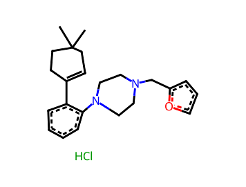 CC1(C)CC=C(c2ccccc2N2CCN(Cc3ccco3)CC2)CC1.Cl